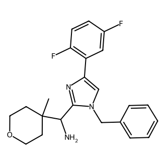 CC1(C(N)c2nc(-c3cc(F)ccc3F)cn2Cc2ccccc2)CCOCC1